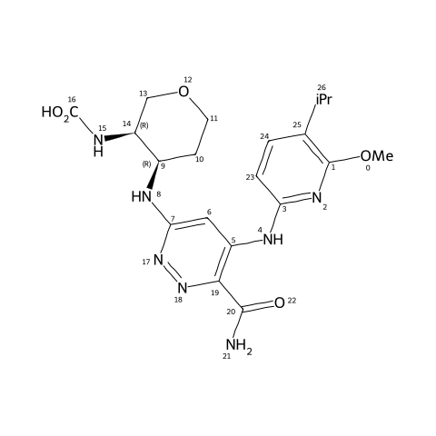 COc1nc(Nc2cc(N[C@@H]3CCOC[C@@H]3NC(=O)O)nnc2C(N)=O)ccc1C(C)C